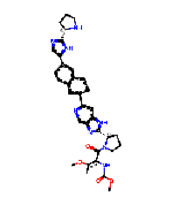 COC(=O)N[C@H](C(=O)N1CCC[C@H]1c1nc2cnc(-c3ccc4cc(-c5cnc([C@@H]6CCCN6)[nH]5)ccc4c3)cc2[nH]1)[C@@H](C)OC